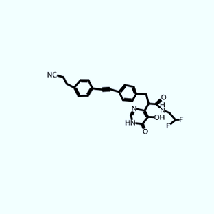 N#CCCc1ccc(C#Cc2ccc(CC(C(=O)NCC(F)F)c3nc[nH]c(=O)c3O)cc2)cc1